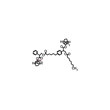 CCCCCCCC(=O)OCC(C(=O)O[C@H]1C[C@H]2CC[C@@H](C1)N2C)c1ccc(CCCCCC(=O)OCC(C(=O)O[C@H]2C[C@H]3CC[C@@H](C2)N3C)c2ccccc2)cc1